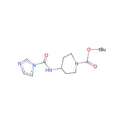 CC(C)(C)OC(=O)N1CCC(NC(=O)n2ccnc2)CC1